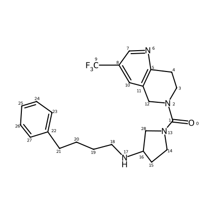 O=C(N1CCc2ncc(C(F)(F)F)cc2C1)N1CCC(NCCCCc2ccccc2)C1